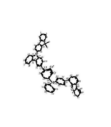 CC1(C)c2ccccc2-c2ccc(-n3c4ccccc4c4cc(-c5ccc(N(c6ccccc6)c6ccc(-c7cccc8c7oc7ccccc78)cc6)cc5)ccc43)cc21